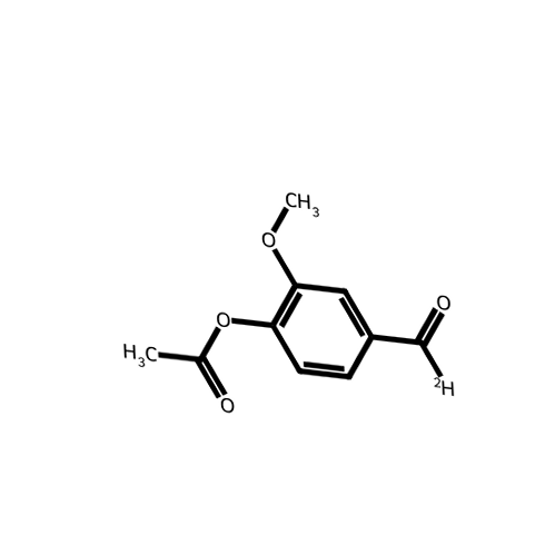 [2H]C(=O)c1ccc(OC(C)=O)c(OC)c1